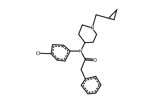 O=C(Cc1ccccc1)N(c1ccc(Cl)cc1)C1CCN(CC2CC2)CC1